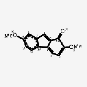 COC1=CC=C2C(=Cc3cc(OC)ccc32)C1=O